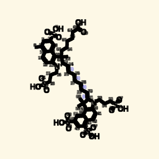 Cc1cc(S(=O)(=O)O)cc2c3c(ccc12)[N+](CCCS(=O)(=O)O)=C(/C=C/C=C/C=C/C=C1/N(CCCS(=O)(=O)O)c2ccc4c(S(=O)(=O)O)cc(S(=O)(=O)O)cc4c2C1(C)C)C3(C)CCCCCC(=O)O